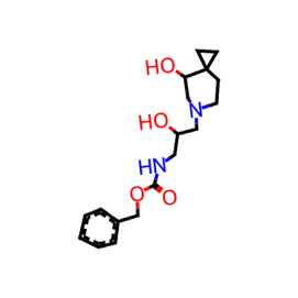 O=C(NCC(O)CN1CCC2(CC2)C(O)C1)OCc1ccccc1